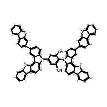 N#Cc1cc(-n2c3ccc(-c4ccc5c(c4)oc4ccccc45)cc3c3c4oc5ccccc5c4ccc32)cc(C#N)c1-n1c2ccc(-c3ccc4c(c3)oc3ccccc34)cc2c2c3oc4ccccc4c3ccc21